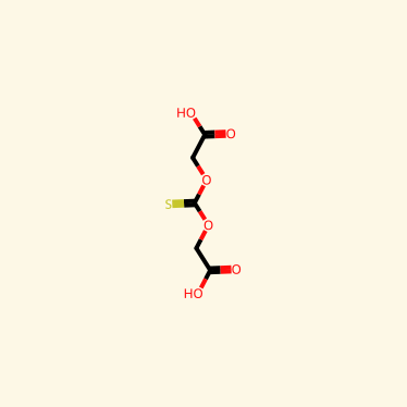 O=C(O)COC(=S)OCC(=O)O